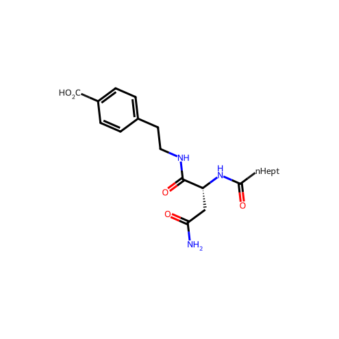 CCCCCCCC(=O)N[C@H](CC(N)=O)C(=O)NCCc1ccc(C(=O)O)cc1